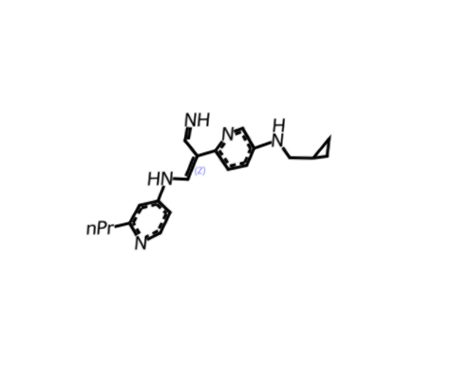 CCCc1cc(N/C=C(\C=N)c2ccc(NCC3CC3)cn2)ccn1